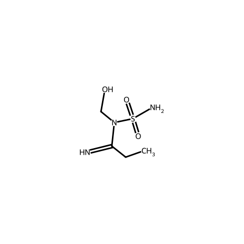 CCC(=N)N(CO)S(N)(=O)=O